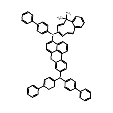 CC1(C)/C=C/C(N(c2ccc(-c3ccccc3)cc2)c2ccc3c4c(cccc24)-c2ccc(N(C4=CC=C(c5ccccc5)CC4)c4ccc(-c5ccccc5)cc4)cc2O3)=C\C=C\c2ccccc21